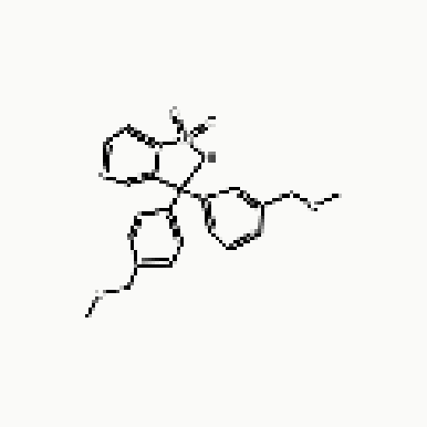 COCc1ccc(C2(c3cccc(COC)c3)NS(=O)(=O)c3ccccc32)cc1